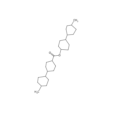 CC1CCC(C2CCC(OC(=O)C3CCC(C4CCC(C)CC4)CC3)CC2)CC1